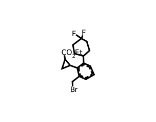 CCOC(=O)C1CC1c1c(CBr)cccc1C1CCC(F)(F)CC1